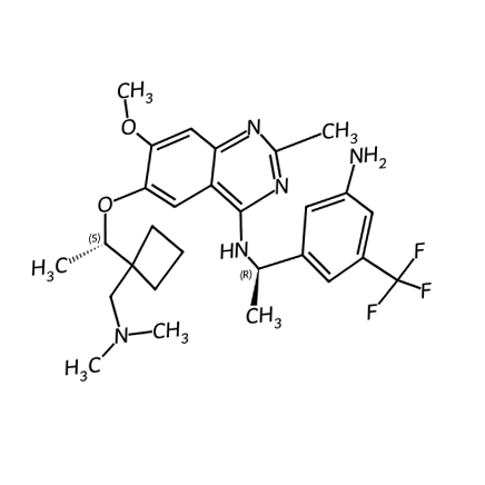 COc1cc2nc(C)nc(N[C@H](C)c3cc(N)cc(C(F)(F)F)c3)c2cc1O[C@@H](C)C1(CN(C)C)CCC1